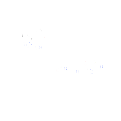 CC(C)[C@@H](N)C(=O)NCCCCCC(=O)N1CCN(CC(=O)Nc2nc3ccccc3s2)CC1